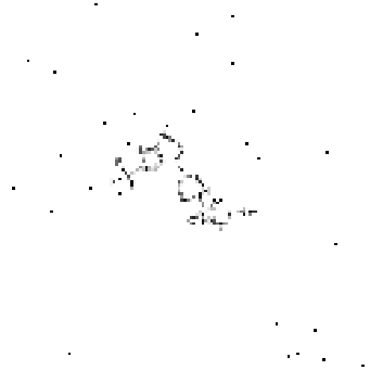 C[C@@H](CO)NS(=O)(=O)c1ccc(-c2ccnc3[nH]c(C(F)(F)F)cc23)cn1